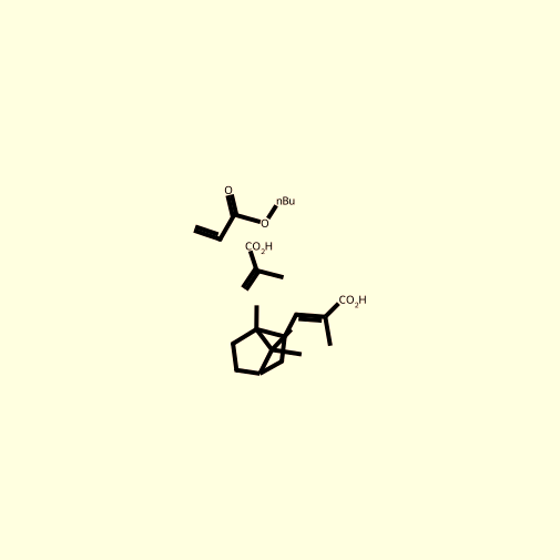 C=C(C)C(=O)O.C=CC(=O)OCCCC.CC(=CC1CC2CCC1(C)C2(C)C)C(=O)O